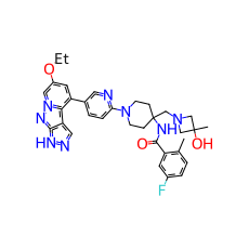 CCOc1cc(-c2ccc(N3CCC(CN4CC(C)(O)C4)(NC(=O)c4cc(F)ccc4C)CC3)nc2)c2c3cn[nH]c3nn2c1